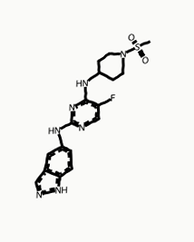 CS(=O)(=O)N1CCC(Nc2nc(Nc3ccc4[nH]ncc4c3)ncc2F)CC1